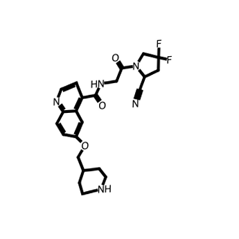 N#CC1CC(F)(F)CN1C(=O)CNC(=O)c1ccnc2ccc(OCC3CCNCC3)cc12